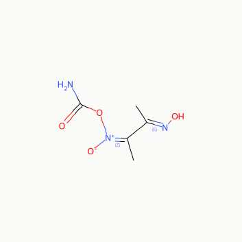 CC(/C(C)=N/O)=[N+](\[O-])OC(N)=O